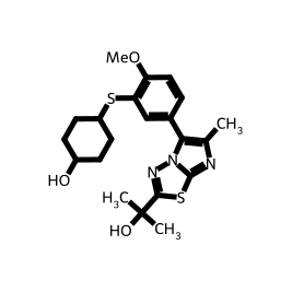 COc1ccc(-c2c(C)nc3sc(C(C)(C)O)nn23)cc1SC1CCC(O)CC1